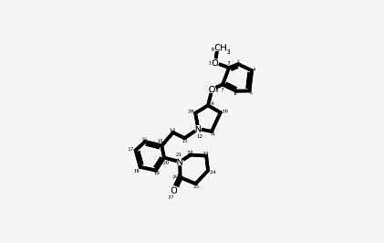 COc1ccccc1OC1CCN(CCc2ccccc2N2CCCCC2=O)C1